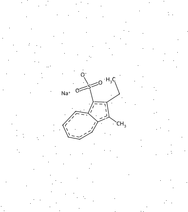 CCc1c(C)c2cccccc-2c1S(=O)(=O)[O-].[Na+]